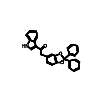 O=C(Cc1ccc2c(c1)OC(c1ccccc1)(c1ccccc1)O2)c1c[nH]c2ccccc12